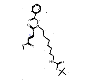 COC(=O)/C=C/C(=O)N(CCCCCCCNC(=O)OC(C)(C)C)OC(=O)c1ccccc1